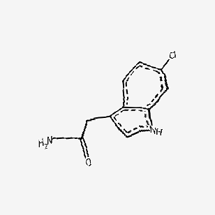 NC(=O)Cc1c[nH]c2cc(Cl)ccc12